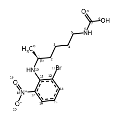 C[C@@H](CCCCNC(=O)O)Nc1c(Br)cccc1[N+](=O)[O-]